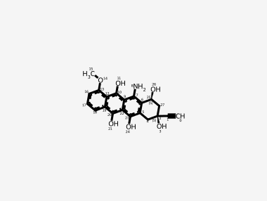 C#C[C@]1(O)Cc2c(c(N)c3c(O)c4c(OC)cccc4c(O)c3c2O)[C@@H](O)C1